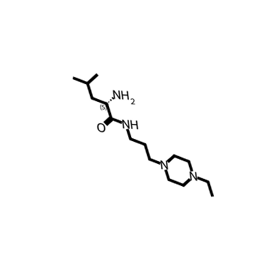 CCN1CCN(CCCNC(=O)[C@@H](N)CC(C)C)CC1